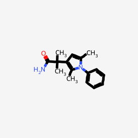 Cc1cc(C(C)(C)C(N)=O)c(C)n1-c1ccccc1